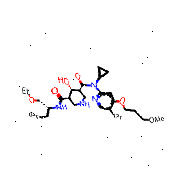 CCOC[C@@H](CC(C)C)NC(=O)[C@@H]1CNC[C@H](C(=O)N(c2cc(OCCCOC)c(C(C)C)cn2)C2CC2)[C@@H]1O